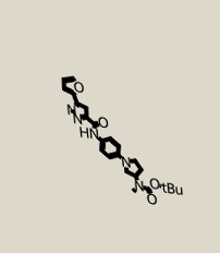 CN(C(=O)OC(C)(C)C)C1CCN(c2ccc(NC(=O)C3=NN=C(c4ccco4)C3)cc2)C1